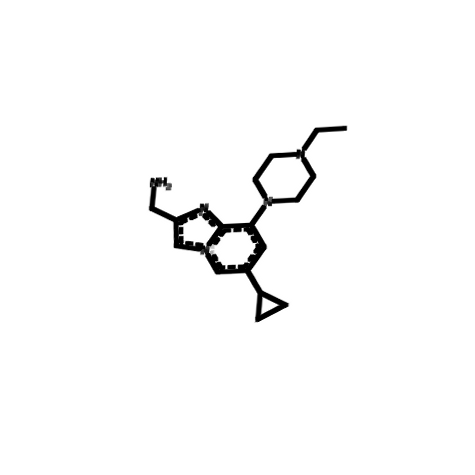 CCN1CCN(c2cc(C3CC3)cn3cc(CN)nc23)CC1